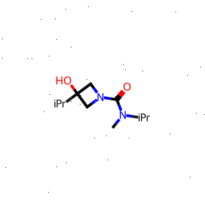 CC(C)N(C)C(=O)N1CC(O)(C(C)C)C1